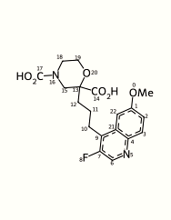 COc1ccc2ncc(F)c(CCCC3(C(=O)O)CN(C(=O)O)CCO3)c2c1